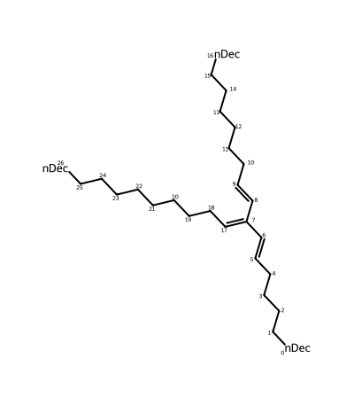 CCCCCCCCCCCCCCC=CC(C=CCCCCCCCCCCCCCCCC)=CCCCCCCCCCCCCCCCCCC